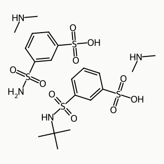 CC(C)(C)NS(=O)(=O)c1cccc(S(=O)(=O)O)c1.CNC.CNC.NS(=O)(=O)c1cccc(S(=O)(=O)O)c1